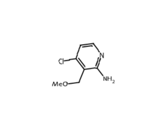 COCc1c(Cl)ccnc1N